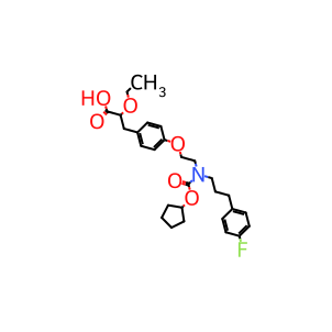 CCOC(Cc1ccc(OCCN(CCCc2ccc(F)cc2)C(=O)OC2CCCC2)cc1)C(=O)O